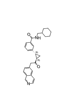 O=C(NCC1CCCCC1)c1cccc([C@@H]2C[C@H]2C(=O)Cc2ccc3cnccc3c2)c1